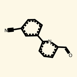 N#Cc1cccc(-c2cccc(C=O)n2)c1